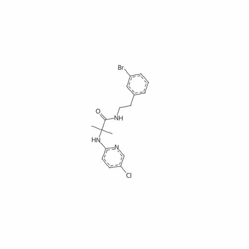 CC(C)(Nc1ccc(Cl)cn1)C(=O)NCCc1cccc(Br)c1